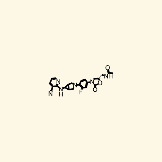 CC(=O)NC[C@H]1CN(c2ccc(N3CC4C(C3)C4Nc3ncccc3C#N)c(F)c2)C(=O)O1